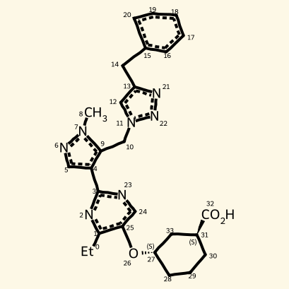 CCc1nc(-c2cnn(C)c2Cn2cc(Cc3ccccc3)nn2)ncc1O[C@H]1CCC[C@H](C(=O)O)C1